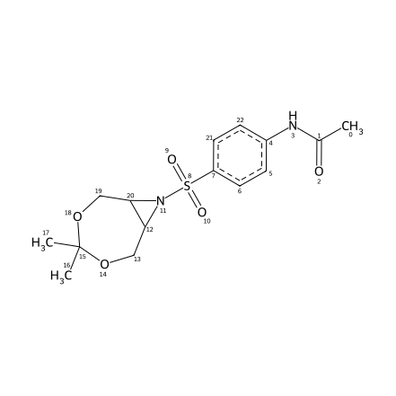 CC(=O)Nc1ccc(S(=O)(=O)N2C3COC(C)(C)OCC32)cc1